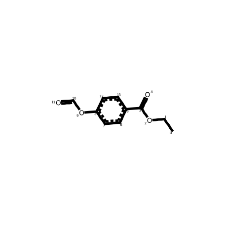 CCOC(=O)c1ccc(OC=O)cc1